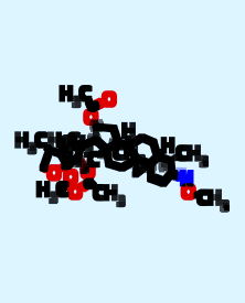 C=C1C(C)COC1(OC)[C@H](OC(C)=O)[C@@H](C)[C@H]1[C@@H](OC(C)=O)C[C@@]2(C)[C@@H]3CC[C@H]4[C@H](C)/C(=N/OC)C=C[C@@]45C[C@@]35CC[C@]12C